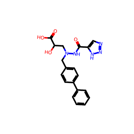 O=C(NN(Cc1ccc(-c2ccccc2)cc1)CC(O)C(=O)O)c1cnn[nH]1